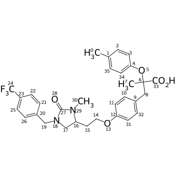 Cc1ccc(OC(C)(Cc2ccc(OCCC3CN(Cc4ccc(C(F)(F)F)cc4)C(=O)N3C)cc2)C(=O)O)cc1